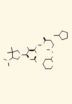 CN(C)C1CN(c2nc(Cl)nc(NNC(=O)[C@H](CC3CCCC3)CN(C=O)OC3CCCCO3)c2F)CC1(C)C